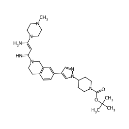 CN1CCN(/C(N)=C/C(=N)N2CCc3ccc(-c4cnn(C5CCN(C(=O)OC(C)(C)C)CC5)c4)cc3C2)CC1